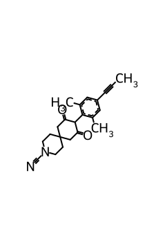 CC#Cc1cc(C)c(C2C(=O)CC3(CCN(C#N)CC3)CC2=O)c(C)c1